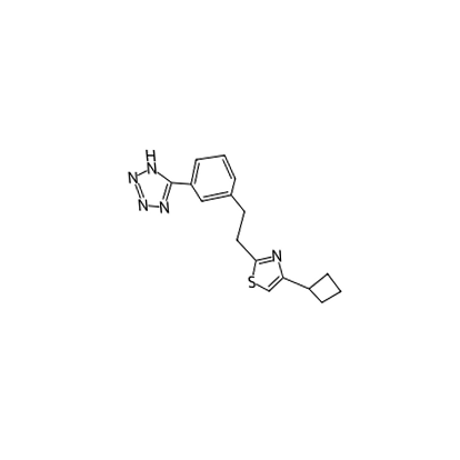 c1cc(CCc2nc(C3CCC3)cs2)cc(-c2nnn[nH]2)c1